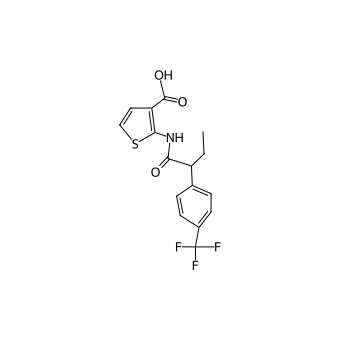 CCC(C(=O)Nc1sccc1C(=O)O)c1ccc(C(F)(F)F)cc1